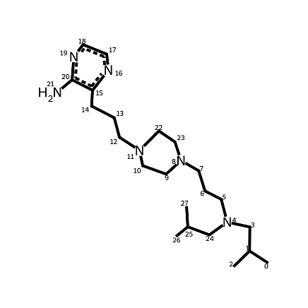 CC(C)CN(CCCN1CCN(CCCc2nccnc2N)CC1)CC(C)C